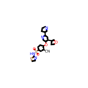 N#Cc1cc(S(=O)(=O)Nc2nccs2)ccc1Oc1cnc(-c2cccnc2)cc1-c1ccoc1